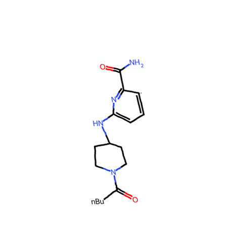 CCCCC(=O)N1CCC(Nc2cc[c]c(C(N)=O)n2)CC1